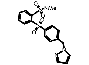 CNS(=O)(=O)c1ccccc1S(=O)(=O)c1ccc(Cn2cccn2)cc1